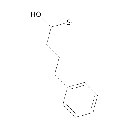 OC([S])CCCc1ccccc1